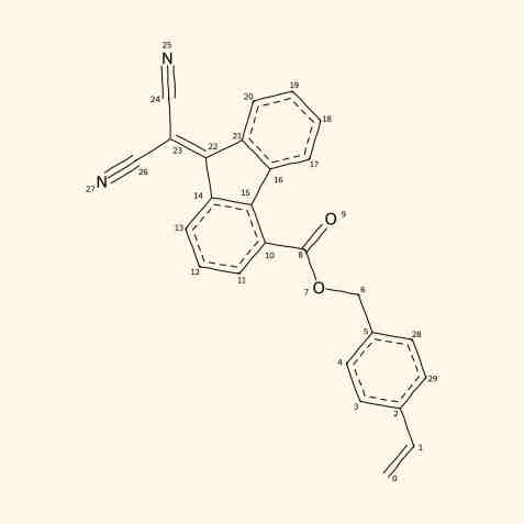 C=Cc1ccc(COC(=O)c2cccc3c2-c2ccccc2C3=C(C#N)C#N)cc1